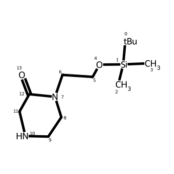 CC(C)(C)[Si](C)(C)OCCN1CCNCC1=O